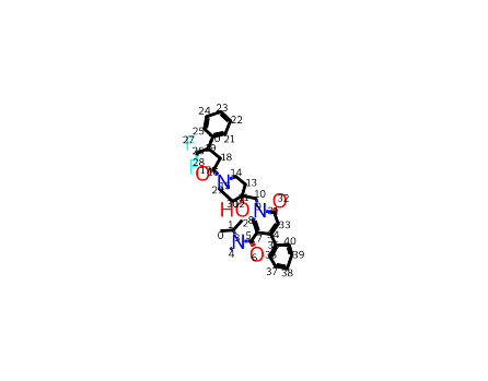 CC(C)N(C)C(=O)c1cn(CC2(O)CCN(C(=O)CC(c3ccccc3)C(F)F)CC2)c(=O)cc1-c1ccccc1